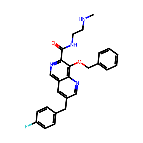 CNCCNC(=O)c1ncc2cc(Cc3ccc(F)cc3)cnc2c1OCc1ccccc1